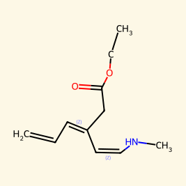 C=C/C=C(\C=C/NC)CC(=O)OCC